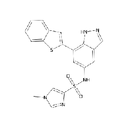 Cn1cnc(S(=O)(=O)Nc2cc(-c3cc4ccccc4s3)c3[nH]ncc3c2)c1